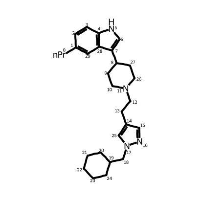 CCCc1ccc2[nH]cc(C3CCN(CCc4cnn(CC5CCCCC5)c4)CC3)c2c1